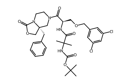 CC(C)(C)OC(=O)NC(C)(C)C(=O)N[C@H](COCc1cc(Cl)cc(Cl)c1)C(=O)N1CCN2C(=O)OC[C@]2(Cc2ccccc2)C1